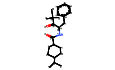 CC(C)C1CCC(C(=O)N[C@H](Cc2ccccc2)C(=O)C(C)(C)C)CC1